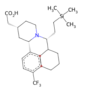 C[Si](C)(C)CC[C@H](C1CCCCC1)N1CC[C@@H](CC(=O)O)C[C@H]1c1ccc(C(F)(F)F)cc1